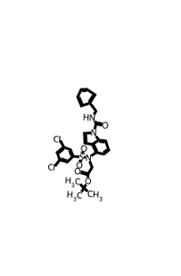 CC(C)(C)OC(=O)CN(c1cccc2c1ccn2C(=O)NCc1ccccc1)S(=O)(=O)c1cc(Cl)cc(Cl)c1